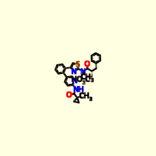 CN(C(=O)[C@@H](CC(=O)O)Cc1ccccc1)c1nc(-c2ccccc2-c2ccc(NC(=O)C3(C)CC3)nc2)cs1